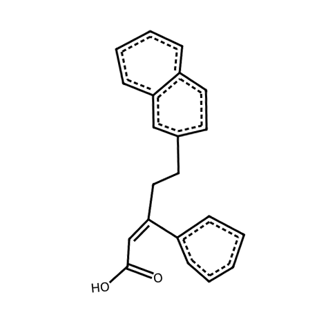 O=C(O)C=C(CCc1ccc2ccccc2c1)c1ccccc1